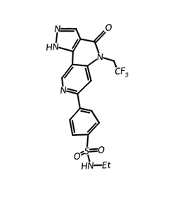 CCNS(=O)(=O)c1ccc(-c2cc3c(cn2)c2[nH]ncc2c(=O)n3CC(F)(F)F)cc1